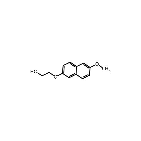 COc1ccc2cc(OCCO)ccc2c1